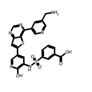 NCc1cncc(-c2ncnc3cc(-c4cnc(O)c(NS(=O)(=O)c5cccc(C(=O)O)c5)c4)sc23)c1